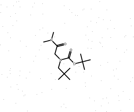 CN(C)C(=O)CN(CC(C)(C)C)C(=O)OC(C)(C)C